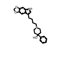 OC1(c2ccccc2)CCN(CCCCc2c[nH]c3cc4c(cc23)OCO4)CC1